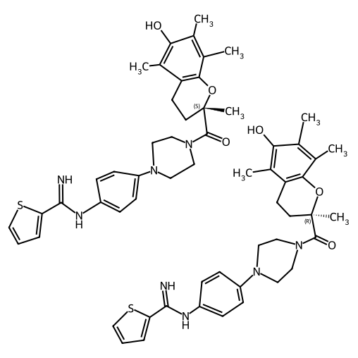 Cc1c(C)c2c(c(C)c1O)CC[C@@](C)(C(=O)N1CCN(c3ccc(NC(=N)c4cccs4)cc3)CC1)O2.Cc1c(C)c2c(c(C)c1O)CC[C@](C)(C(=O)N1CCN(c3ccc(NC(=N)c4cccs4)cc3)CC1)O2